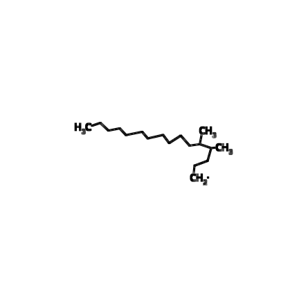 [CH2]CCC(C)C(C)CCCCCCCCCCC